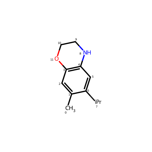 Cc1cc2c(cc1C(C)C)NCCO2